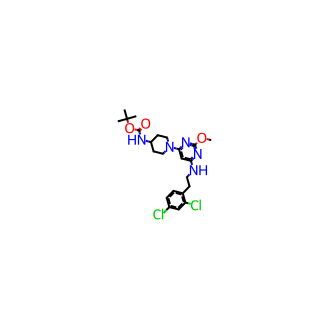 COc1nc(NCCc2ccc(Cl)cc2Cl)cc(N2CCC(NC(=O)OC(C)(C)C)CC2)n1